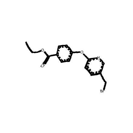 CCOC(=O)c1ccc(Oc2ccc(CBr)cn2)cc1